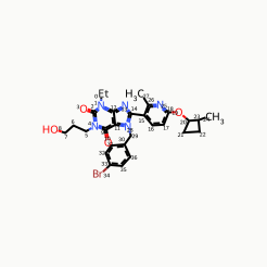 CCn1c(=O)n(CCCO)c(=O)c2c1nc(-c1ccc(OC3CCC3C)nc1C)n2Cc1ccc(Br)cc1